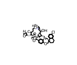 C=CC[C@@H](C)[C@@H](C[C@H]1CCO1)S(=O)(=O)NC(=O)c1ccc2c(c1)N(C[C@@H]1CC[C@H]1[C@@H](O)/C=C/CCC)C[C@@]1(CCCc3cc(Cl)ccc31)CO2